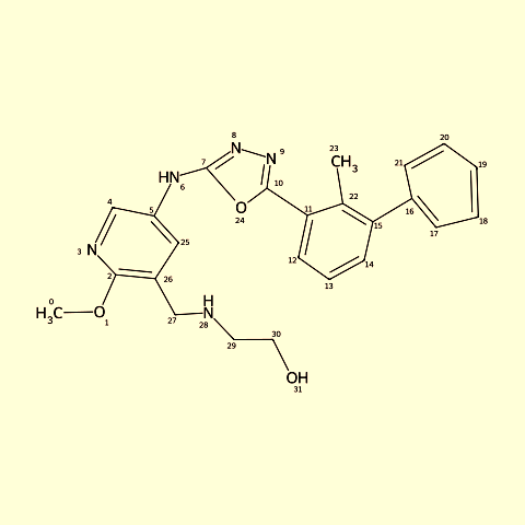 COc1ncc(Nc2nnc(-c3cccc(-c4ccccc4)c3C)o2)cc1CNCCO